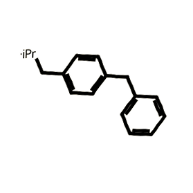 C[C](C)Cc1ccc(Cc2ccccc2)cc1